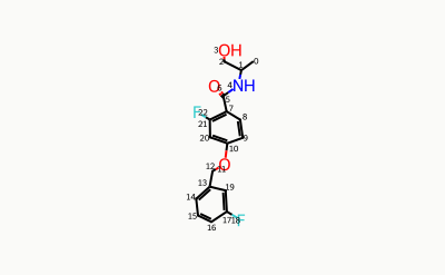 CC(CO)NC(=O)c1ccc(OCc2cccc(F)c2)cc1F